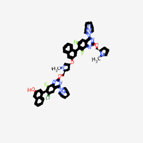 CN1CCC[C@H]1COc1nc(N2CC3CCC(C2)N3)c2cc(F)c(-c3cc(O[C@H]4C[C@@H](COc5nc(N6CC7CCC(C6)N7)c6cc(Cl)c(-c7cc(O)cc8ccccc78)c(F)c6n5)N(C)C4)cc4ccccc34)c(F)c2n1